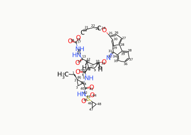 CC[C@@H]1C[C@]1(NC(=O)[C@@H]1C[C@@H]2C[C@H]1C(=O)NNC(=O)OCCCCOc1ccc3c(c1)/C(=N\O2)c1ccccc1-3)C(=O)NS(=O)(=O)C1CC1